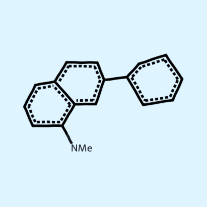 CNc1cccc2ccc(-c3ccccc3)cc12